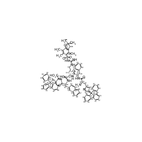 Cc1c(C)c(S(=O)(=O)NC(=N)NCCC[C@H](NC(=O)[C@@H](Cc2ccccc2)NC(=O)[C@@H](N)Cc2cn(C(c3ccccc3)(c3ccccc3)c3ccccc3)cn2)C(=O)N[C@@H](Cc2ccc3ccccc3c2)C(=O)N[C@@H](CSC(c2ccccc2)(c2ccccc2)c2ccccc2)C(=O)O)c(C)c2c1OC(C)(C)C2